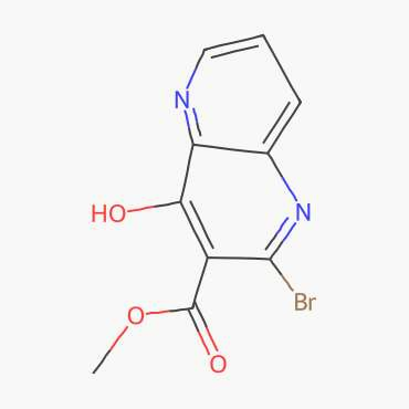 COC(=O)c1c(Br)nc2cccnc2c1O